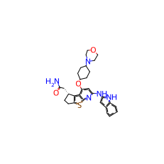 NC(=O)C[C@H]1CCc2sc3nc(Nc4cc5ccccc5[nH]4)cc(O[C@H]4CC[C@H](N5CCOCC5)CC4)c3c21